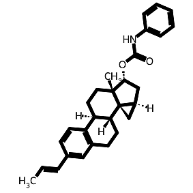 CC=Cc1ccc2c(c1)CC[C@@H]1[C@@H]2CC[C@]2(C)[C@H](OC(=O)Nc3ccccc3)C[C@H]3C[C@@]312